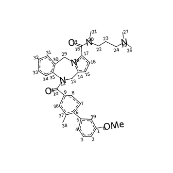 COc1cccc(-c2ccc(C(=O)N3Cc4ccc(C(=O)N(C)CCCN(C)C)n4Cc4ccccc43)cc2C)c1